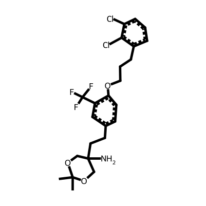 CC1(C)OCC(N)(CCc2ccc(OCCCc3cccc(Cl)c3Cl)c(C(F)(F)F)c2)CO1